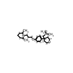 CC1CCCC(C)N1CCCOc1ccc(C2(CN(C)C)CCOCC2)cc1